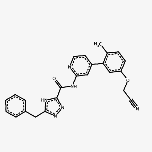 Cc1ccc(OCC#N)cc1-c1ccnc(NC(=O)c2nnc(Cc3ccccc3)[nH]2)c1